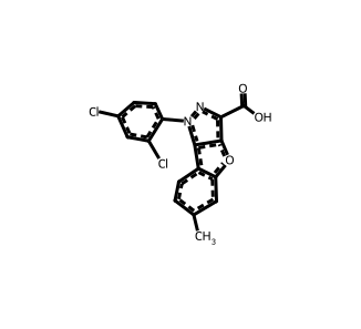 Cc1ccc2c(c1)oc1c(C(=O)O)nn(-c3ccc(Cl)cc3Cl)c12